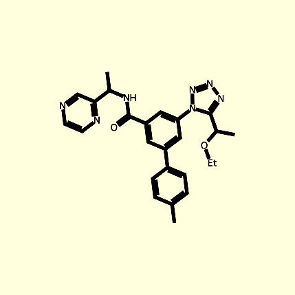 CCOC(C)c1nnnn1-c1cc(C(=O)NC(C)c2cnccn2)cc(-c2ccc(C)cc2)c1